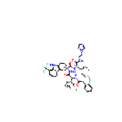 CCC(C)[C@H](NC(=O)Cc1ccccc1F)C(=O)N[C@]1(C(=O)N[C@H](C(=O)NCCn2ccnc2)C(C)CC)CCc2[nH]c3c(C(F)(F)F)cccc3c2C1